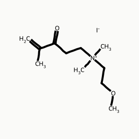 C=C(C)C(=O)CC[N+](C)(C)CCOC.[I-]